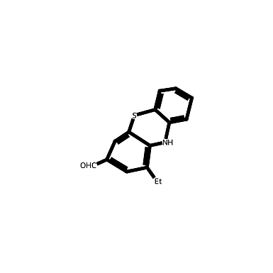 CCc1cc(C=O)cc2c1Nc1ccccc1S2